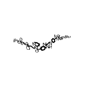 CCCCOC(=O)/N=C(\N)c1ccc(NCc2nc3cc(C(=O)N(CCC(=O)OCCOC(=O)OC(C)C)c4ccccn4)ccc3n2C)cc1